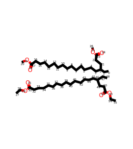 CCC(CCCCCCCCCCCCCCC(=O)OC)CCC(=O)OC.CCOC(=O)CCCCCCCCCCCCCCC(CC)CCC(=O)OCC